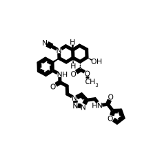 COC(=O)[C@@H]1[C@H]2C[C@@H](c3ccccc3NC(=O)CCn3cc(CNC(=O)c4ccco4)nn3)N(C#N)C[C@@H]2CC[C@@H]1O